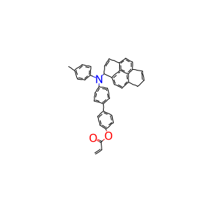 C=CC(=O)Oc1ccc(-c2ccc(N(c3ccc(C)cc3)C3C=Cc4ccc5c6c(ccc3c46)CC=C5)cc2)cc1